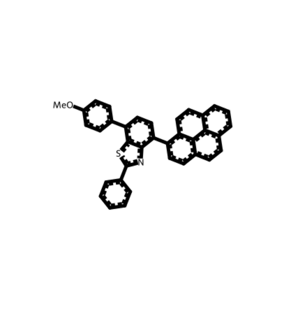 COc1ccc(-c2ccc(-c3ccc4ccc5cccc6ccc3c4c56)c3nc(-c4ccccc4)sc23)cc1